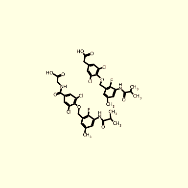 Cc1cc(COc2c(Cl)cc(C(=O)NCC(=O)O)cc2Cl)c(F)c(NC(=O)C(C)C)c1.Cc1cc(COc2c(Cl)cc(CC(=O)O)cc2Cl)c(F)c(NC(=O)C(C)C)c1